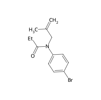 C=C(C)CN(C(=O)CC)c1ccc(Br)cc1